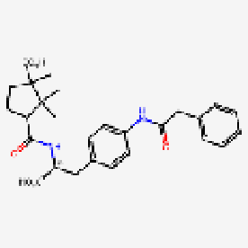 CC1(C(=O)O)CCC(C(=O)N[C@@H](Cc2ccc(NC(=O)Cc3ccccc3)cc2)C(=O)O)C1(C)C